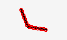 COCCOCCOCCOCCOCCOCCOCCOCCOC(=O)/C=C\C(=O)OCCOCCOCCOCCOCCOCCOCCOCCOC